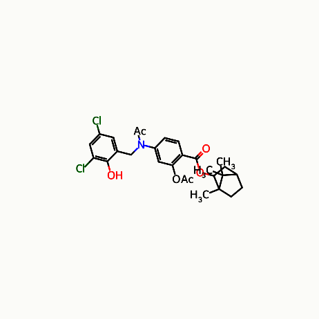 CC(=O)Oc1cc(N(Cc2cc(Cl)cc(Cl)c2O)C(C)=O)ccc1C(=O)OC1CC2CCC1(C)C2(C)C